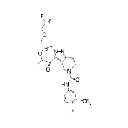 CN1O[C@H](COCC(F)F)Cn2nc3c(c2C1=O)CN(C(=O)Nc1ccc(F)c(C(F)(F)F)c1)CC3